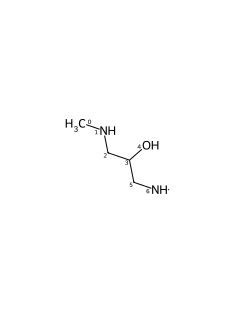 CNCC(O)C[NH]